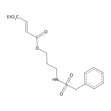 CCOC(=O)/C=C/C(=O)OCCCNS(=O)(=O)Cc1ccccc1